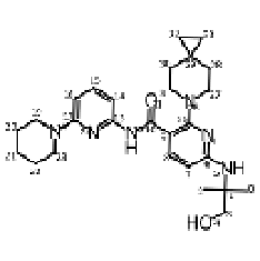 CC(C)(CO)Nc1ccc(C(=O)Nc2cccc(N3CCCCC3)n2)c(N2CCC3(CC2)CC3)n1